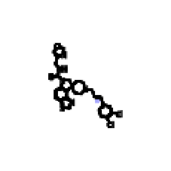 O=C(NCc1cocn1)N1CC2(CCN(C/C=C/c3ccc(Cl)c(Cl)c3)CC2)c2c1ccc1scnc21